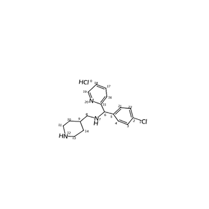 Cl.Clc1ccc(C(NCC2CCNCC2)c2ccccn2)cc1